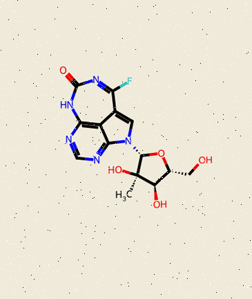 C[C@@]1(O)[C@H](O)[C@@H](CO)O[C@H]1n1cc2c3c(ncnc31)NC(=O)N=C2F